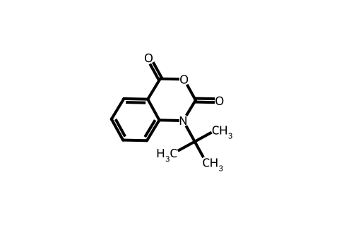 CC(C)(C)n1c(=O)oc(=O)c2ccccc21